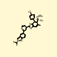 CC(=O)[C@@H](OC(C)(C)C)c1c(C)cc2nc(-c3ccnc(-c4ccc5nn(C(F)F)cc5c4)c3)sc2c1-c1ccc(Cl)cc1